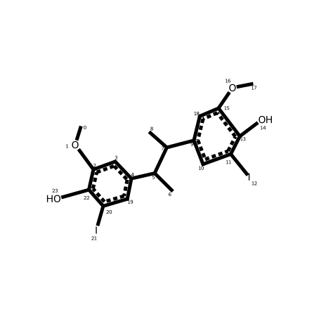 COc1cc(C(C)C(C)c2cc(I)c(O)c(OC)c2)cc(I)c1O